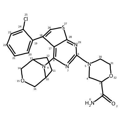 NC(=O)C1CN(c2nc(N3C4CCC3COC4)c3c(-c4ccccc4Cl)csc3n2)CCO1